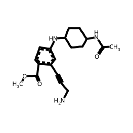 COC(=O)c1ccc(NC2CCC(NC(C)=O)CC2)cc1C#CCN